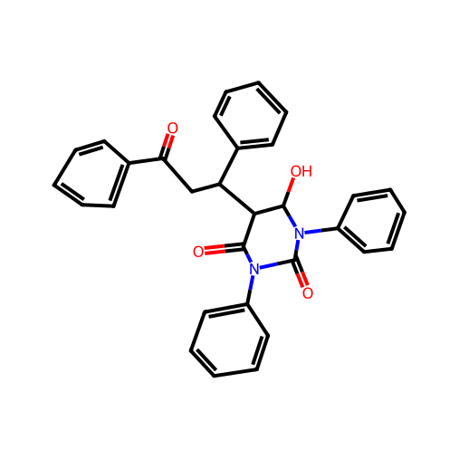 O=C(CC(c1ccccc1)C1C(=O)N(c2ccccc2)C(=O)N(c2ccccc2)C1O)c1ccccc1